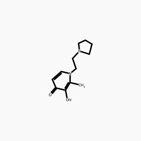 Cc1c(O)c(=O)ccn1CCN1CCCC1